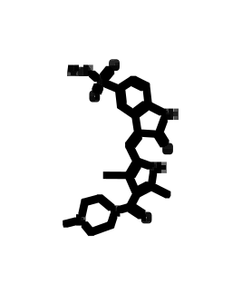 CNS(=O)(=O)c1ccc2c(c1)C(=Cc1[nH]c(C)c(C(=O)N3CCN(C)CC3)c1C)C(=O)N2